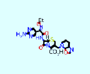 CCO/N=C(/C(=O)NC1C(=O)N2C(C(=O)O)=C(CN3C=CC=C4N=COC43)CS[C@H]12)c1cnc(N)nc1